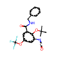 CC(C)(C)Oc1c(N=C=O)cc(OC(F)(F)F)cc1C(=O)NCc1ccccc1